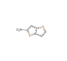 O=[N+]([O-])c1cc2sccc2s1